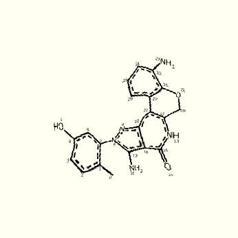 Cc1ccc(O)cc1-n1nc2c3c([nH]c(=O)c2c1N)COc1c(N)cccc1-3